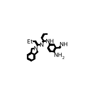 C\C=C/C(=N\C(=C\CC)N1Cc2ccccc2C1)Nc1ccc(N)c(C=N)c1